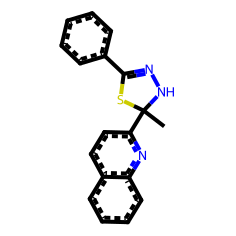 CC1(c2ccc3ccccc3n2)NN=C(c2ccccc2)S1